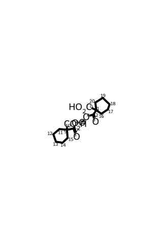 O=C(O)C1(C(=O)OOOC(=O)C2(C(=O)O)CCCCC2)CCCCC1